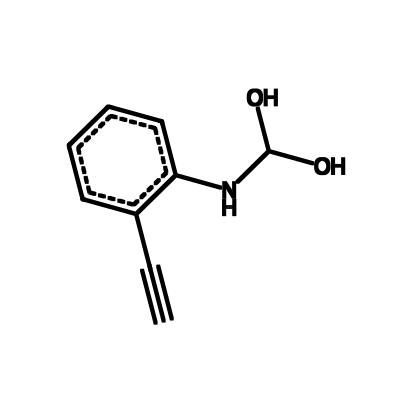 C#Cc1ccccc1NC(O)O